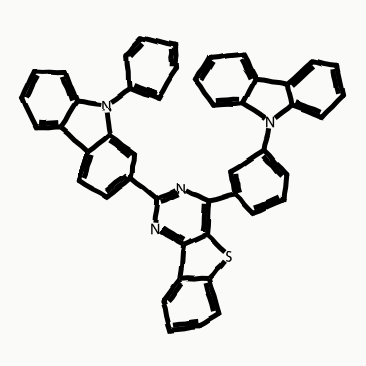 c1ccc(-n2c3ccccc3c3ccc(-c4nc(-c5cccc(-n6c7ccccc7c7ccccc76)c5)c5sc6ccccc6c5n4)cc32)cc1